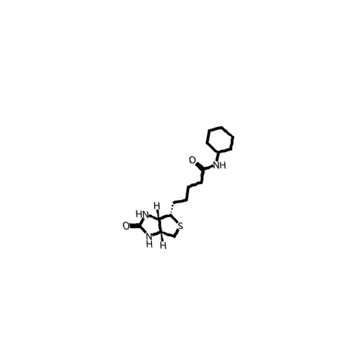 O=C(CCCC[C@@H]1SC[C@@H]2NC(=O)N[C@@H]21)NC1CCCCC1